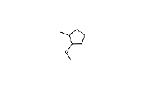 CO[C]1CCCC1C